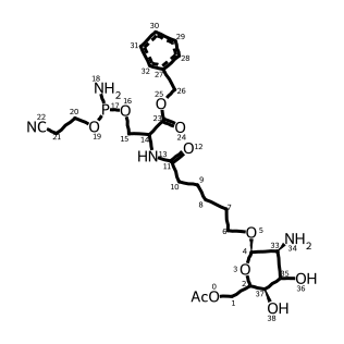 CC(=O)OCC1O[C@@H](OCCCCCC(=O)NC(COP(N)OCCC#N)C(=O)OCc2ccccc2)[C@@H](N)C(O)[C@H]1O